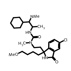 CNC(C1CCCCC1)C(C)NC(=O)N(C)CCC1(CCCCOC)NC(=O)c2cc(Cl)ccc21